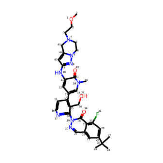 COCCN1CCn2nc(Nc3cc(-c4ccnc(-n5ncc6cc(C(C)(C)C)cc(F)c6c5=O)c4CO)cn(C)c3=O)cc2C1